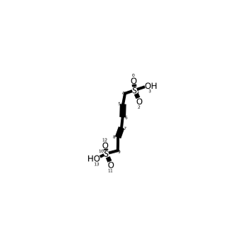 O=S(=O)(O)CC#CC#CCS(=O)(=O)O